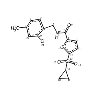 Cc1ccc(CNC(=O)c2ccc(S(=O)(=O)C3CC3)s2)c(Cl)c1